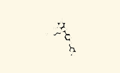 CCCn1c(=O)[nH]c(=O)c2nc(-c3ccc(NCC4CC(=O)N(C)C4)nc3)n(CCCOC)c21